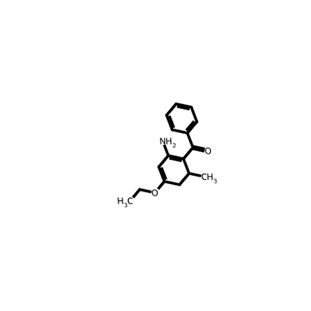 CCOC1=CC(N)=C(C(=O)c2ccccc2)C(C)C1